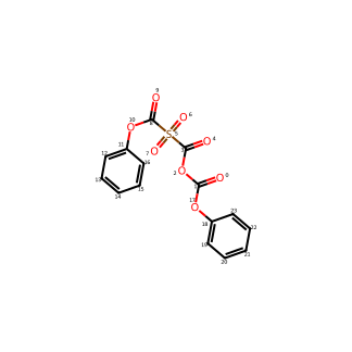 O=C(OC(=O)S(=O)(=O)C(=O)Oc1ccccc1)Oc1ccccc1